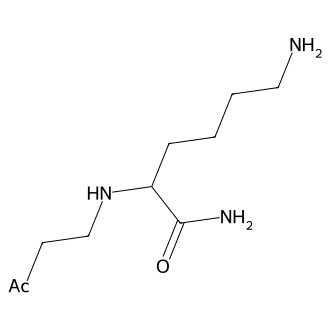 CC(=O)CCNC(CCCCN)C(N)=O